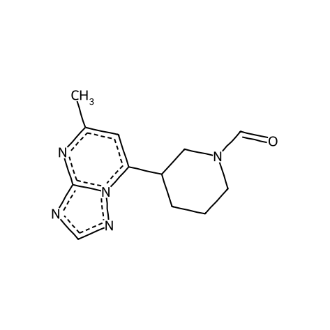 Cc1cc(C2CCCN(C=O)C2)n2ncnc2n1